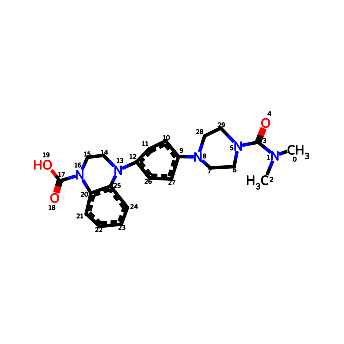 CN(C)C(=O)N1CCN(c2ccc(N3CCN(C(=O)O)c4ccccc43)cc2)CC1